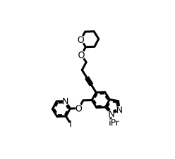 CC(C)n1ncc2cc(C#CCCOC3CCCCO3)c(COc3ncccc3I)cc21